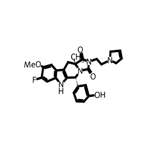 COc1cc2c3c([nH]c2cc1F)[C@@H](c1cccc(O)c1)N1C(=O)N(CCN2CC=CC2)C(=O)[C@]1(C)C3